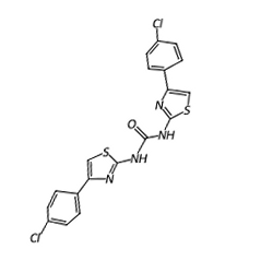 O=C(Nc1nc(-c2ccc(Cl)cc2)cs1)Nc1nc(-c2ccc(Cl)cc2)cs1